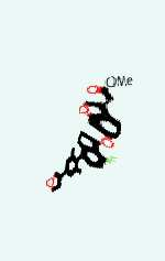 COC(=O)C[C@@H]1COc2cc(O[C@@H]3CCc4c(-c5c(C)cc(C6=CCOC6)cc5C)ccc(F)c43)ccc21